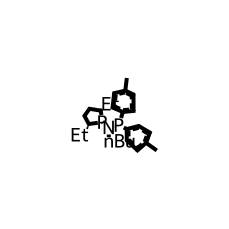 CCCCN(P(c1ccc(C)cc1)c1ccc(C)cc1)P1[C@H](CC)CC[C@H]1CC